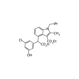 CCOC(=O)c1c(C)n(CC(C)C)c2cccc(C(C(=O)O)c3cc(O)cc(Cl)c3)c12